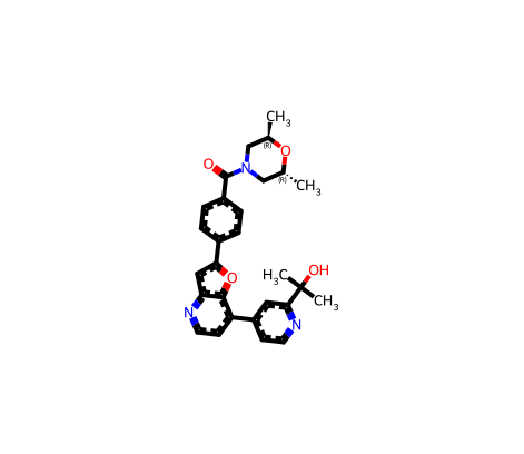 C[C@@H]1CN(C(=O)c2ccc(-c3cc4nccc(-c5ccnc(C(C)(C)O)c5)c4o3)cc2)C[C@@H](C)O1